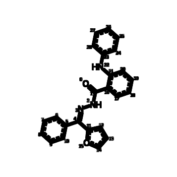 O=C(NN=C(c1ccccc1)c1ccco1)c1ccccc1Nc1ccccc1